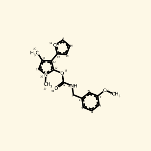 COc1cccc(CNC(=O)Oc2c(-c3ccco3)c(C)cn2C)c1